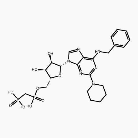 O=P(O)(O)CP(=O)(O)OC[C@H]1O[C@@H](n2cnc3c(NCc4ccccc4)nc(N4CCCCC4)nc32)[C@H](O)[C@@H]1O